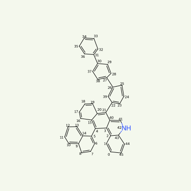 C1=CC2=c3c(-c4cccc5ccccc45)c4ccccc4c(-c4cccc(-c5ccc(-c6ccccc6)cc5)c4)c3=CNC2C=C1